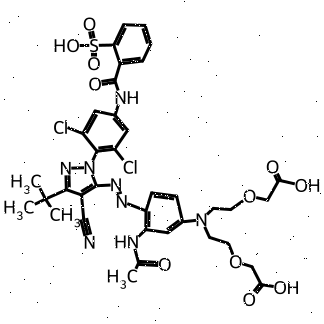 CC(=O)Nc1cc(N(CCOCC(=O)O)CCOCC(=O)O)ccc1/N=N/c1c(C#N)c(C(C)(C)C)nn1-c1c(Cl)cc(NC(=O)c2ccccc2S(=O)(=O)O)cc1Cl